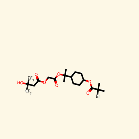 CCC(C)(C)C(=O)OC1CCC(C(C)(C)OC(=O)COC(=O)CC(O)(C(F)(F)F)C(F)(F)F)CC1